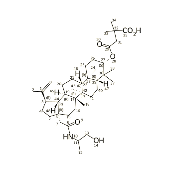 C=C(C)[C@@H]1CC[C@]2(CC(=O)NC(C)CO)CC[C@]3(C)[C@H](CC[C@@H]4[C@@]5(C)CC[C@H](OC(=O)CC(C)(C)C(=O)O)C(C)(C)[C@@H]5CC[C@]43C)[C@@H]12